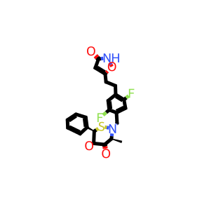 C[C@H]1C(=O)C(=O)[C@@H](c2ccccc2)SN1Cc1cc(F)c(CCc2cc(=O)[nH]o2)cc1F